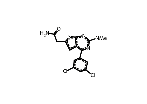 CNc1nc(-c2cc(Cl)cc(Cl)c2)c2cc(CC(N)=O)sc2n1